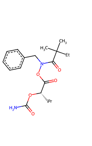 CCC(C)(C)C(=O)N(Cc1ccccc1)OC(=O)[C@@H](OC(N)=O)C(C)C